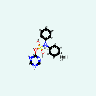 O=S(=O)(Oc1ncncn1)N(c1ccccc1)c1ccccc1.[NaH]